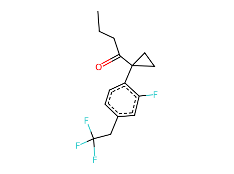 CCCC(=O)C1(c2ccc(CC(F)(F)F)cc2F)CC1